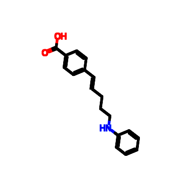 O=C(O)c1ccc(C=CCCCNc2ccccc2)cc1